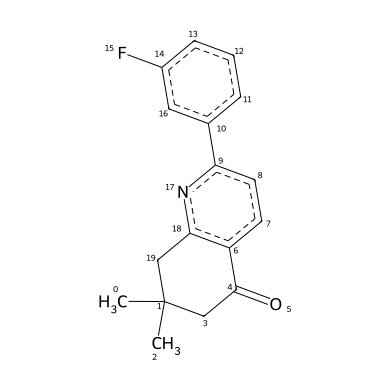 CC1(C)CC(=O)c2ccc(-c3cccc(F)c3)nc2C1